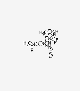 C=CC(O)N1CC2(CCN(c3nc(N4CC[C@@H](N5C6CCC5CC6)C4)nc4c(OCC(F)(F)F)c(-c5c(C)ccc6[nH]ncc56)c(C5CC5)cc34)CC2)C1